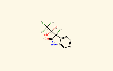 O=C1Nc2ccccc2C1(F)C(O)(O)C(F)(F)F